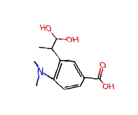 CC(c1cc(C(=O)O)ccc1N(C)C)C(O)O